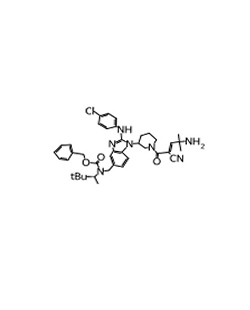 C[C@H](N(Cc1ccc2c(c1)nc(Nc1ccc(Cl)cc1)n2C1CCCN(C(=O)C(C#N)=CC(C)(C)N)C1)C(=O)OCc1ccccc1)C(C)(C)C